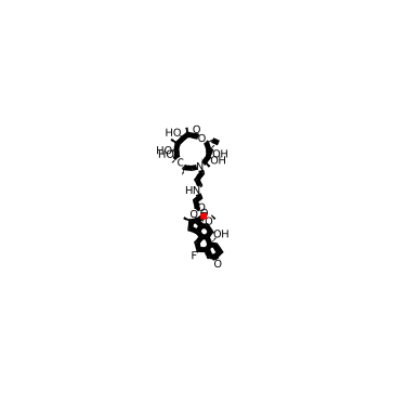 CC[C@H]1OC(=O)[C@H](C)[C@@H](O)[C@H](C)[C@@H](O)[C@](C)(O)C[C@@H](C)CN(CCCNCCC(=O)O[C@]2(C(=O)OC)[C@H](C)CC3C4C[C@H](F)C5=CC(=O)C=C[C@]5(C)C4[C@@H](O)C[C@@]32C)[C@H](C)[C@@H](O)[C@]1(C)O